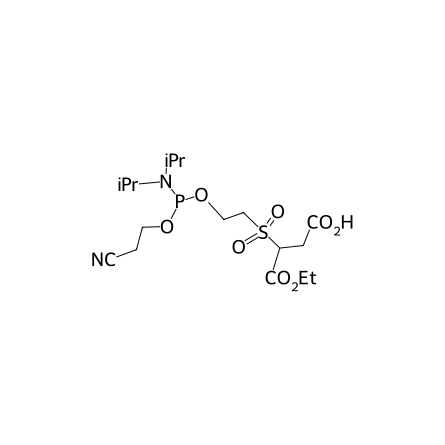 CCOC(=O)C(CC(=O)O)S(=O)(=O)CCOP(OCCC#N)N(C(C)C)C(C)C